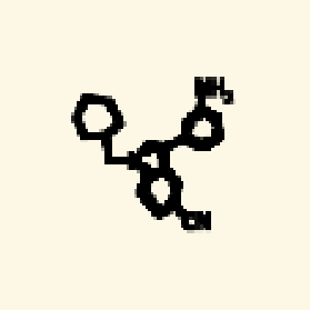 N#Cc1ccc2c(c1)c(-c1cccc(N)c1)cn2CC1CCCCC1